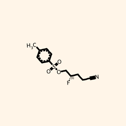 Cc1ccc(S(=O)(=O)OC[C@@H](F)CCC#N)cc1